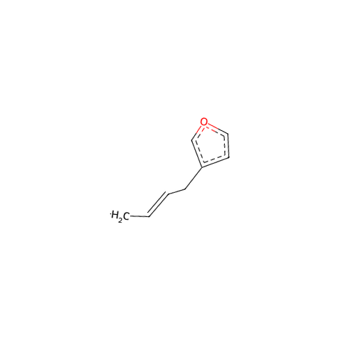 [CH2]C=CCc1ccoc1